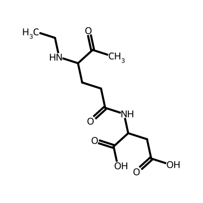 CCNC(CCC(=O)NC(CC(=O)O)C(=O)O)C(C)=O